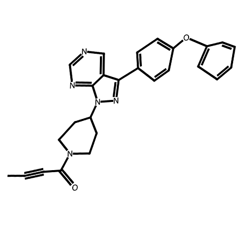 CC#CC(=O)N1CCC(n2nc(-c3ccc(Oc4ccccc4)cc3)c3cncnc32)CC1